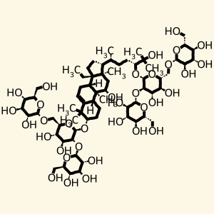 CC[C@@]12CC[C@H]([C@H](C)CC[C@@H](O[C@@H]3O[C@H](CO[C@@H]4O[C@H](CO)[C@@H](O)[C@H](O)[C@H]4O)[C@@H](O)[C@H](O)[C@H]3O[C@@H]3O[C@H](CO)[C@@H](O)[C@H](O)[C@H]3O)C(C)(C)O)[C@@]1(C)C[C@@H](O)[C@@]1(C)[C@@H]3CC[C@H](O[C@@H]4O[C@H](CO[C@H]5O[C@H](CO)[C@@H](O)[C@H](O)[C@H]5O)[C@@H](O)[C@H](O)[C@H]4O[C@@H]4O[C@H](CO)[C@@H](O)[C@H](O)[C@H]4O)C(C)(C)C3=CC[C@@H]12